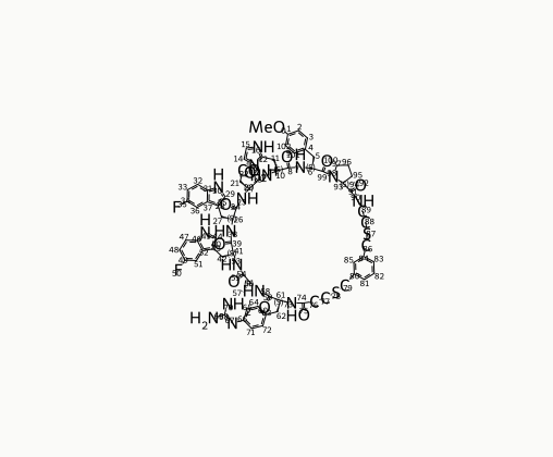 COc1ccc(C[C@@H]2NC(=O)[C@H](Cc3ncc[nH]3)NC(=O)[C@H](CC(=O)O)NC(=O)[C@H](Cc3c[nH]c4ccc(F)cc34)NC(=O)[C@H](Cc3c[nH]c4ccc(F)cc34)NC(=O)[C@@H](C)NC(=O)[C@H](Cc3ccc(N=C(N)N)cc3)NC(=O)CCSCc3cccc(c3)CSCCNC(=O)[C@]3(C)CCCN3C2=O)cc1